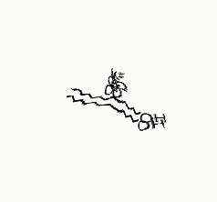 CCCCCCCCCCCCCCO.CCCCCCCCCCCCCCO.O=S(=O)([O-])[O-].[K+].[K+]